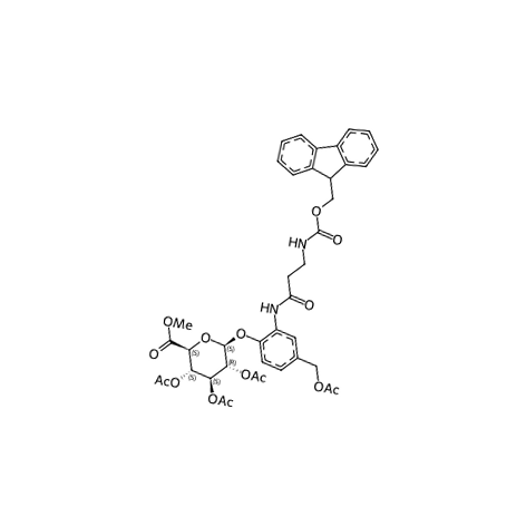 COC(=O)[C@H]1O[C@@H](Oc2ccc(COC(C)=O)cc2NC(=O)CCNC(=O)OCC2c3ccccc3-c3ccccc32)[C@H](OC(C)=O)[C@@H](OC(C)=O)[C@@H]1OC(C)=O